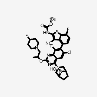 CC(CN1CCC(F)CC1)Oc1nc(N2CC3CCC(C2)N3C(=O)O)c2cc(Cl)c(-c3ccc(F)c4sc(NC(=O)OC(C)(C)C)c(C#N)c34)c(F)c2n1